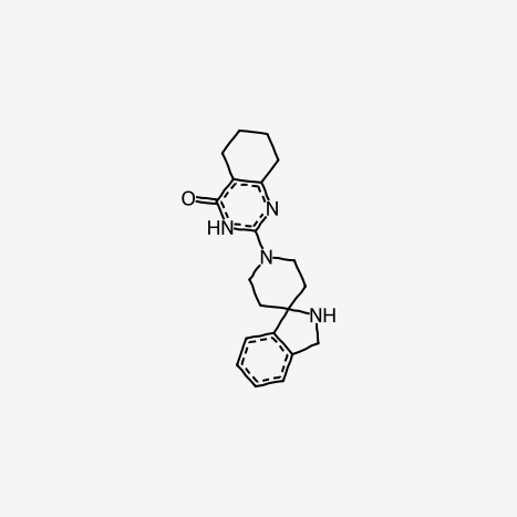 O=c1[nH]c(N2CCC3(CC2)NCc2ccccc23)nc2c1CCCC2